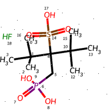 CC(C)(C)C(CP(=O)(O)O)(C(C)(C)C)S(=O)(=O)O.F